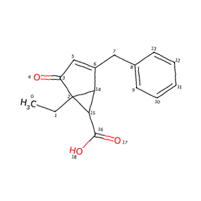 CCC12C(=O)C=C(Cc3ccccc3)C1C2C(=O)O